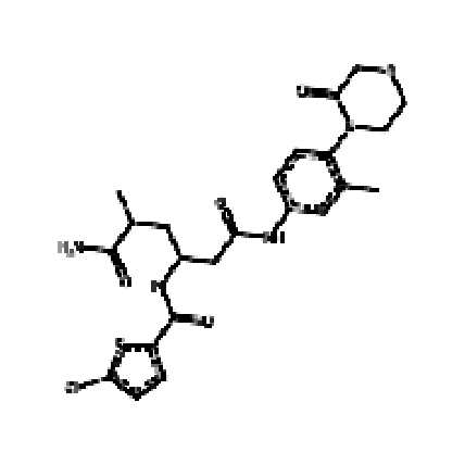 Cc1cc(NC(=O)CC(CC(C)C(N)=O)NC(=O)c2ccc(Cl)s2)ccc1N1CCOCC1=O